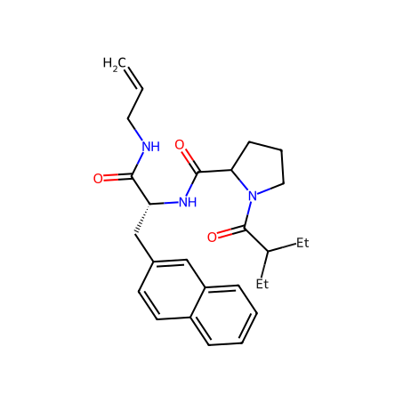 C=CCNC(=O)[C@@H](Cc1ccc2ccccc2c1)NC(=O)C1CCCN1C(=O)C(CC)CC